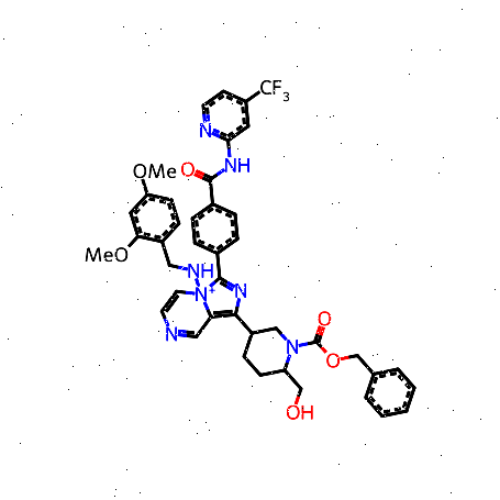 COc1ccc(CN[N+]23C=CN=CC2=C(C2CCC(CO)N(C(=O)OCc4ccccc4)C2)N=C3c2ccc(C(=O)Nc3cc(C(F)(F)F)ccn3)cc2)c(OC)c1